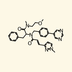 COCCN(C)C(=O)C(Cc1ccccc1)N(Cc1ccc(-c2cncnc2)cc1)C(=O)C=Cc1ccn(C)n1